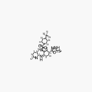 Cc1ccc2c(n1)Nc1ccc(-c3n[nH]c(=S)o3)cc1N(S(=O)(=O)c1ccc(C(C)(C)C)cc1)C2